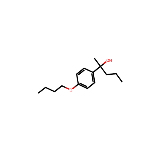 CCCCOc1ccc(C(C)(O)CCC)cc1